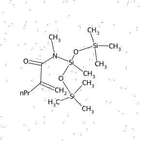 C=C(CCC)C(=O)N(C)[Si](C)(O[Si](C)(C)C)O[Si](C)(C)C